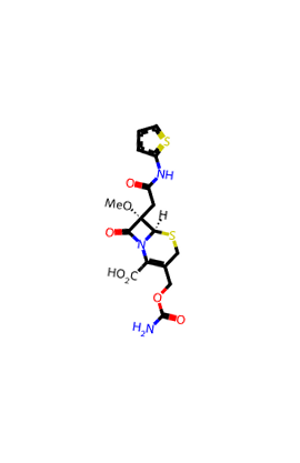 CO[C@@]1(CC(=O)Nc2cccs2)C(=O)N2C(C(=O)O)=C(COC(N)=O)CS[C@@H]21